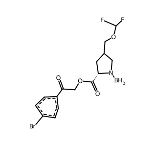 BN1CC(COC(F)F)C[C@H]1C(=O)OCC(=O)c1ccc(Br)cc1